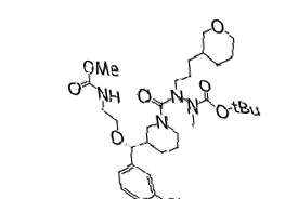 COC(=O)NCCO[C@@H](c1cccc(Cl)c1)C1CCCN(C(=O)N(CCCC2CCCOC2)N(C)C(=O)OC(C)(C)C)C1